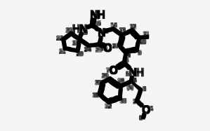 COCC[C@H](NC(=O)c1cc(C)cc(CN2C(=N)NC3(CCCC3)CC2=O)c1)c1ccccc1